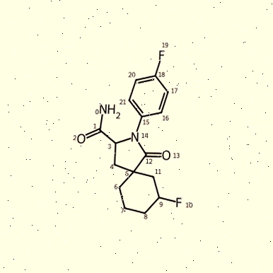 NC(=O)C1CC2(C[CH]CC(F)C2)C(=O)N1c1ccc(F)cc1